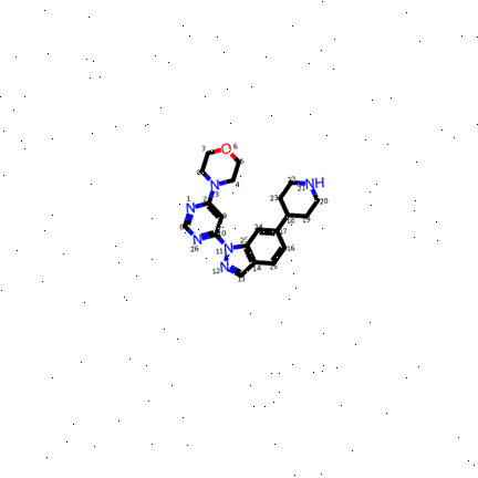 c1nc(N2CCOCC2)cc(-n2ncc3ccc(C4CCNCC4)cc32)n1